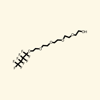 OCCOCCOCCOCCOCCOC(F)(F)C(F)(F)C(F)(F)C(F)(F)F